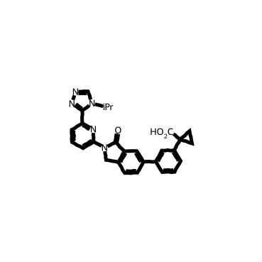 CC(C)n1cnnc1-c1cccc(N2Cc3ccc(-c4cccc(C5(C(=O)O)CC5)c4)cc3C2=O)n1